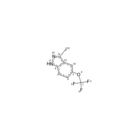 FC(F)(F)Oc1ccc2[nH]nc(I)c2c1